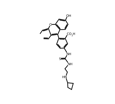 C=CC1=C(c2ccc(NC(=S)NCCNC3CCC3)cc2C(=O)O)c2ccc(O)cc2O/C1=C/C